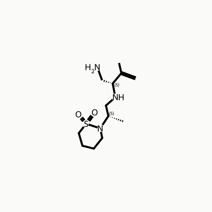 C=C(C)[C@@H](CN)NC[C@H](C)N1CCCCS1(=O)=O